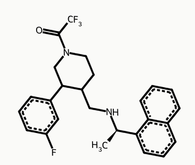 C[C@@H](NCC1CCN(C(=O)C(F)(F)F)CC1c1cccc(F)c1)c1cccc2ccccc12